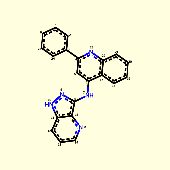 c1ccc(-c2cc(Nc3n[nH]c4cccnc34)c3ccccc3n2)cc1